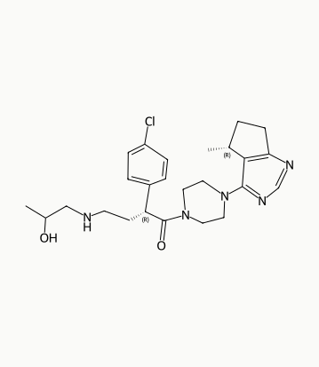 CC(O)CNCC[C@@H](C(=O)N1CCN(c2ncnc3c2[C@H](C)CC3)CC1)c1ccc(Cl)cc1